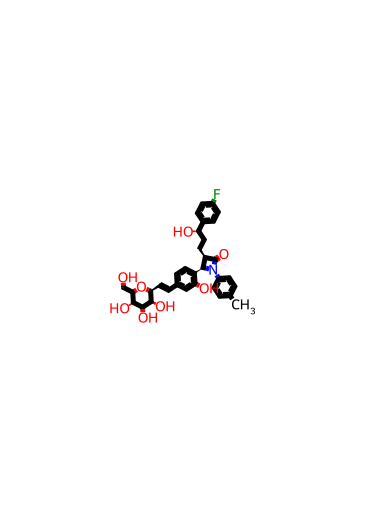 Cc1ccc(N2C(=O)[C@H](CC[C@H](O)c3ccc(F)cc3)[C@H]2c2ccc(/C=C/[C@@H]3OC(CO)[C@@H](O)C(O)[C@@H]3O)cc2O)cc1